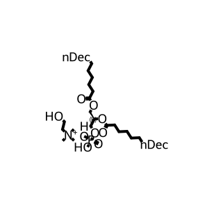 CCCCCCCCCCCCCCCC(=O)OC[C@H](COP(=O)(O)O)OC(=O)CCCCCCCCCCCCCCC.C[N+](C)(C)CCO